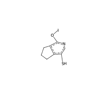 Sc1cnc(OI)c2c1CCC2